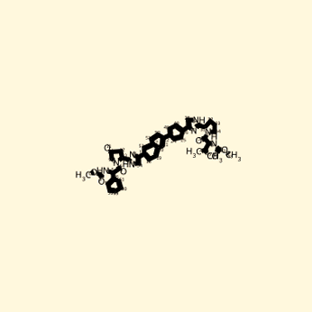 COC(=O)NC(C(=O)N1CC(=O)CC1c1nc(-c2ccc3cc(-c4ccc(-c5c[nH]c(C6CCCN6C(=O)C(NC(=O)OC)C(C)C)n5)cc4)ccc3c2)c[nH]1)c1ccccc1